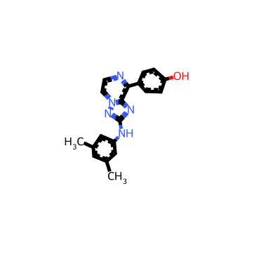 Cc1cc(C)cc(Nc2nc3c(-c4ccc(O)cc4)nccn3n2)c1